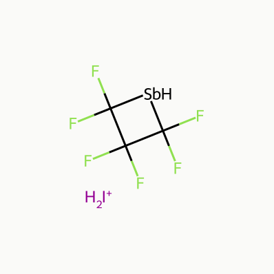 F[C]1(F)[SbH][C](F)(F)C1(F)F.[IH2+]